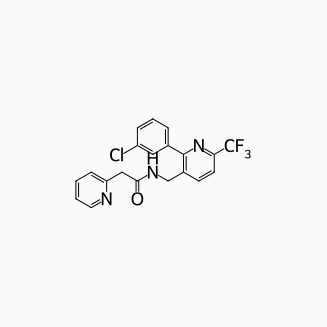 O=C(Cc1ccccn1)NCc1ccc(C(F)(F)F)nc1-c1cccc(Cl)c1